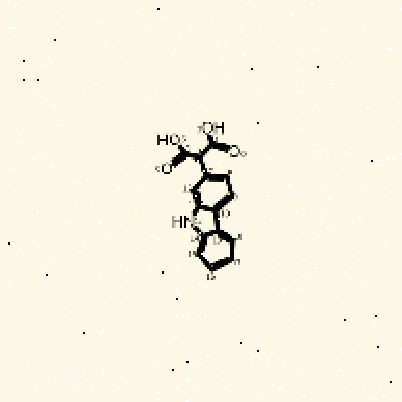 O=C(O)C(C(=O)O)c1ccc2c(c1)[nH]c1ccccc12